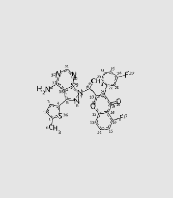 Cc1ccc(-c2nn(C(C)c3oc4cccc(F)c4c(=O)c3-c3cccc(F)c3)c3ncnc(N)c23)s1